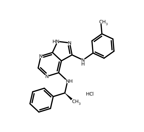 Cc1cccc(Nc2n[nH]c3ncnc(N[C@@H](C)c4ccccc4)c23)c1.Cl